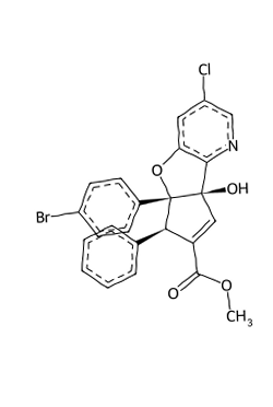 COC(=O)C1=C[C@@]2(O)c3ncc(Cl)cc3O[C@@]2(c2ccc(Br)cc2)[C@@H]1c1ccccc1